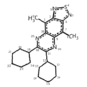 Cc1c2nsnc2c(C)c2nc(C3CCCCC3)c(C3CCCCC3)nc12